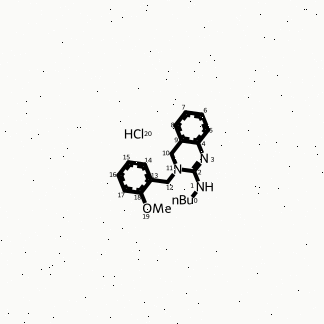 CCCCNC1=Nc2ccccc2CN1Cc1ccccc1OC.Cl